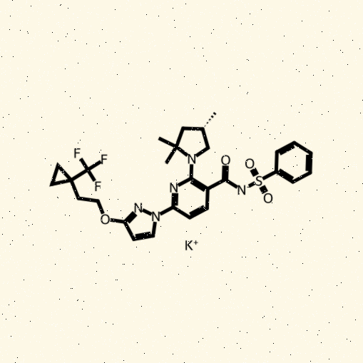 C[C@@H]1CN(c2nc(-n3ccc(OCCC4(C(F)(F)F)CC4)n3)ccc2C(=O)[N-]S(=O)(=O)c2ccccc2)C(C)(C)C1.[K+]